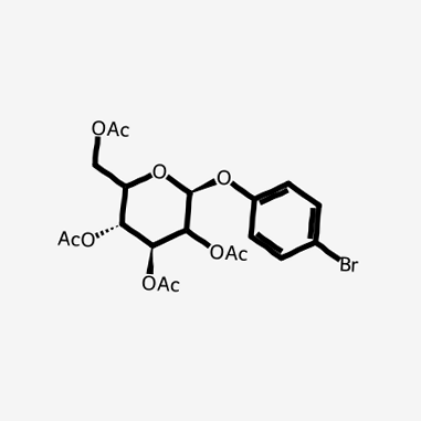 CC(=O)OCC1O[C@@H](Oc2ccc(Br)cc2)C(OC(C)=O)[C@@H](OC(C)=O)[C@@H]1OC(C)=O